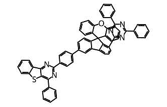 c1ccc(-c2nc(-c3ccccc3)nc(-c3cccc4c3C3(c5ccccc5Oc5ccccc53)c3ccc(-c5ccc(-c6nc(-c7ccccc7)c7sc8ccccc8c7n6)cc5)cc3-4)n2)cc1